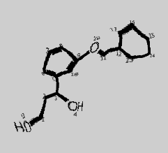 OCCC(O)c1cccc(OCC2CCCCC2)c1